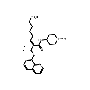 CC(C)N1CCC(NC(=O)C(=CCCCCC(=O)O)COc2cccc3ccccc23)CC1